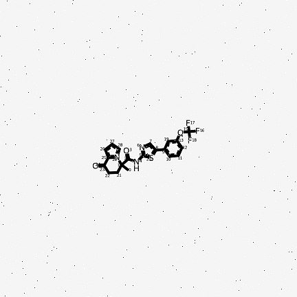 CC1(C(=O)Nc2ncc(-c3cccc(OC(F)(F)F)c3)s2)CCC(=O)c2cccn21